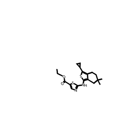 CCOC(=O)c1cnc(Nc2sc(C3CC3)c3c2CC(C)(C)CC3)s1